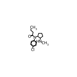 CCCC(=O)N(c1ccc(Cl)cc1)C1CCCC1NC